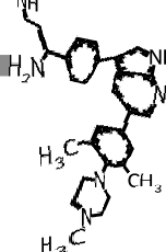 Cc1cc(-c2cnc3[nH]cc(-c4ccc(/C(N)=C/C=N)cc4)c3c2)cc(C)c1N1CCN(C)CC1